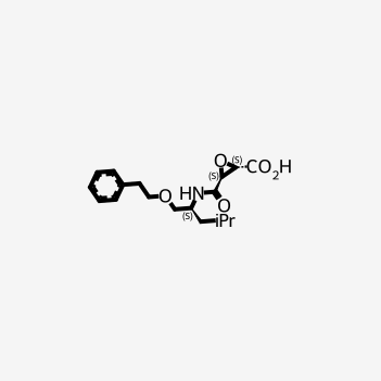 CC(C)C[C@@H](COCCc1ccccc1)NC(=O)[C@H]1O[C@@H]1C(=O)O